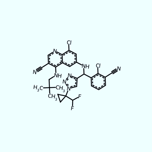 CC(C)(C)CNc1c(C#N)cnc2c(Cl)cc(NC(c3cn(C4(C(F)F)CC4)nn3)c3cccc(C#N)c3Cl)cc12